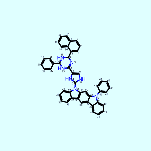 C1=C(C2=NC(c3cccc4ccccc34)NC(c3ccccc3)N2)NC(n2c3ccccc3c3cc4c5ccccc5n(-c5ccccc5)c4cc32)N1